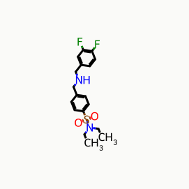 CCN(CC)S(=O)(=O)c1ccc(CNCc2ccc(F)c(F)c2)cc1